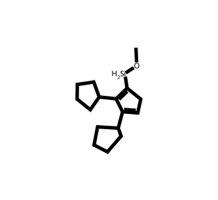 CO[SiH2]C1=C(C2CCCC2)C(C2CCCC2)=CC1